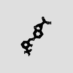 O=C(O)C1C2Oc3cc(OCc4cccc(C(F)(F)F)c4F)ccc3C21